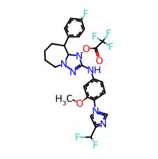 COc1cc(NC2=NN3CCCCC(c4ccc(F)cc4)C3N2OC(=O)C(F)(F)F)ccc1-n1cnc(C(F)F)c1